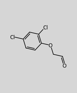 O=CCOc1ccc(Cl)cc1Cl